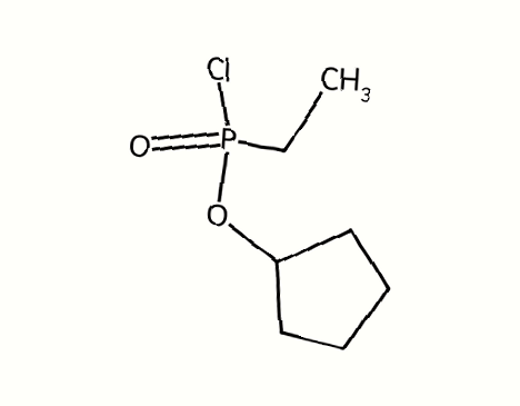 CCP(=O)(Cl)OC1CCCC1